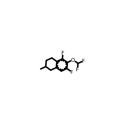 CC1CCc2c(cc(F)c(OC(F)F)c2F)C1